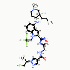 CCC[C@@]1(F)CN(C)CC[C@H]1Nc1cccc2c1cc(-c1noc(CNC(=O)c3cnn(C(C)CF)c3)n1)n2CC(F)(F)F